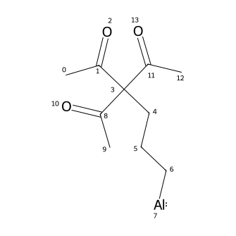 CC(=O)C(CC[CH2][Al])(C(C)=O)C(C)=O